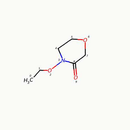 CCON1CCOCC1=O